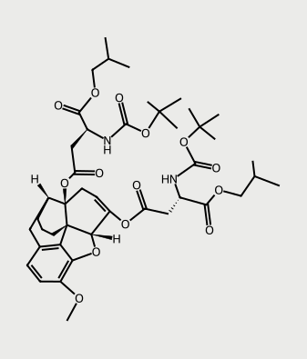 COc1ccc2c3c1O[C@H]1C(OC(=O)C[C@H](NC(=O)OC(C)(C)C)C(=O)OCC(C)C)=CC[C@@]4(OC(=O)C[C@H](NC(=O)OC(C)(C)C)C(=O)OCC(C)C)[C@H](CCC[C@]314)C2